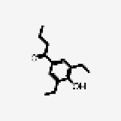 CCCC(=O)c1cc(CC)c(O)c(CC)c1